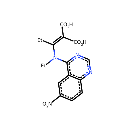 CCC(=C(C(=O)O)C(=O)O)N(CC)c1ncnc2ccc([N+](=O)[O-])cc12